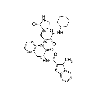 CC1C(C(=O)N[C@@H](Cc2ccccc2)C(=O)N[C@@H](C[C@@H]2CCNC2=O)C(=O)C(=O)NC2CCCCC2)=Cc2ccccc21